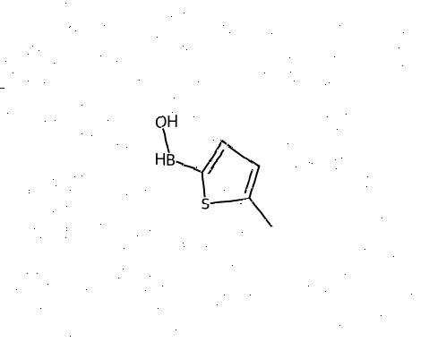 Cc1ccc(BO)s1